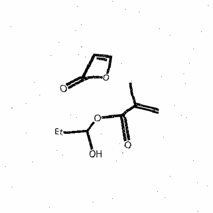 C=C(C)C(=O)OC(O)CC.O=C1C=CO1